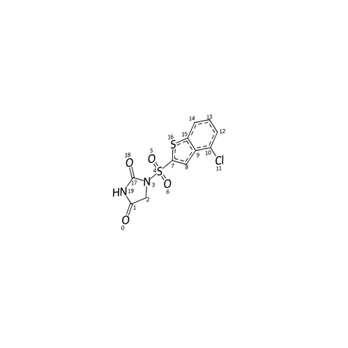 O=C1CN(S(=O)(=O)c2cc3c(Cl)cccc3s2)C(=O)N1